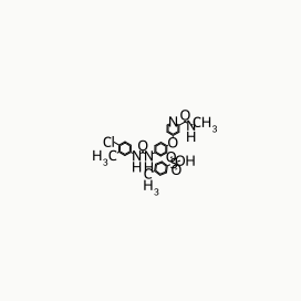 CNC(=O)c1cc(Oc2ccc(NC(=O)Nc3ccc(Cl)c(C)c3)cc2)ccn1.Cc1ccc(S(=O)(=O)O)cc1